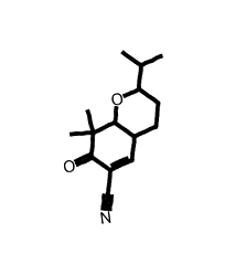 CC(C)C1CCC2C=C(C#N)C(=O)C(C)(C)C2O1